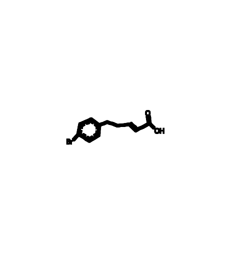 O=C(O)C=CCCc1ccc(Br)cc1